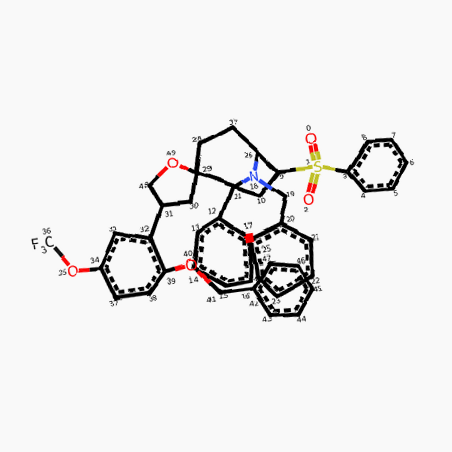 O=S(=O)(c1ccccc1)C1CC2(c3ccccc3)N(Cc3ccccc3)C1CCC21CC(c2cc(OC(F)(F)F)ccc2OCc2ccccc2)CO1